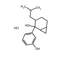 CN(C)CC1CCC2CC2C1(O)c1cccc(O)c1.Cl